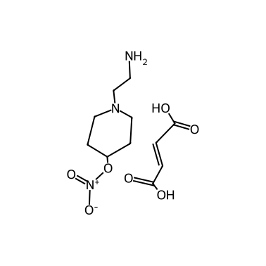 NCCN1CCC(O[N+](=O)[O-])CC1.O=C(O)C=CC(=O)O